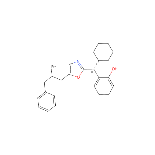 C[C](C)C(Cc1ccccc1)Cc1cnc([C@@H](c2ccccc2O)C2CCCCC2)o1